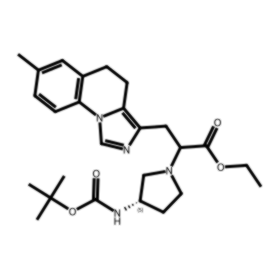 CCOC(=O)C(Cc1ncn2c1CCc1cc(C)ccc1-2)N1CC[C@H](NC(=O)OC(C)(C)C)C1